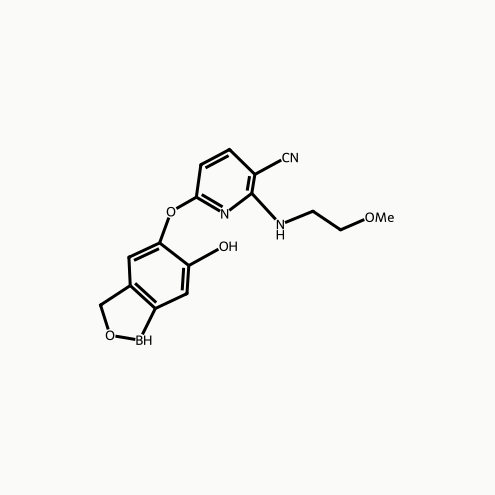 COCCNc1nc(Oc2cc3c(cc2O)BOC3)ccc1C#N